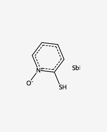 [O-][n+]1ccccc1S.[Sb]